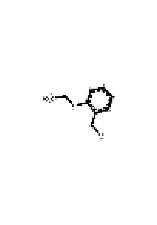 O=C(O)COc1ccccc1CCl